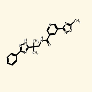 Cc1nc(-c2cncc(C(=O)NCC(C)(C)c3nc(-c4ccccc4)n[nH]3)c2)no1